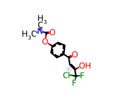 CN(C)C(=O)Oc1ccc(C(=O)/C=C(\O)C(F)(F)Cl)cc1